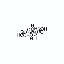 O=C(COP(=O)(O)O)[C@@H](O)[C@@H](O)[C@H](O)COP(=O)(O)O